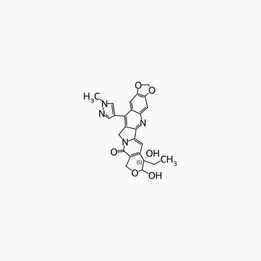 CC[C@]1(O)c2cc3n(c(=O)c2COC1O)Cc1c-3nc2cc3c(cc2c1-c1cnn(C)c1)OCO3